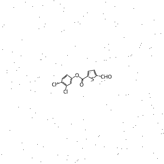 O=Cc1ccc(C(=O)Oc2ccc(Cl)c(Cl)c2)s1